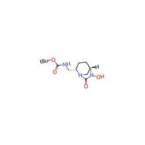 CC(C)(C)OC(=O)NC[C@@H]1CC[C@H]2CN1C(=O)N2O